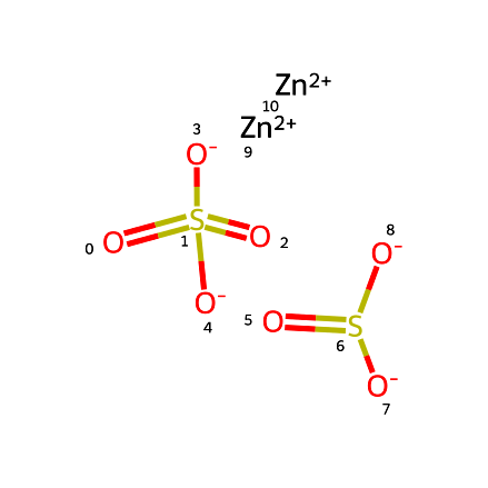 O=S(=O)([O-])[O-].O=S([O-])[O-].[Zn+2].[Zn+2]